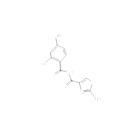 CC(C)(C)c1cc(O)ccc1C(=O)NC(=O)c1csc(N)n1